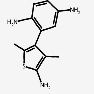 Cc1sc(N)c(C)c1-c1cc(N)ccc1N